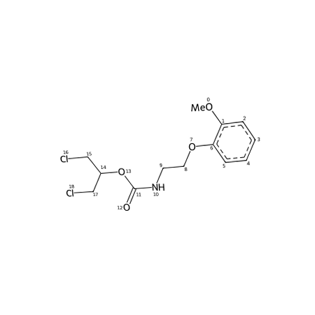 COc1ccccc1OCCNC(=O)OC(CCl)CCl